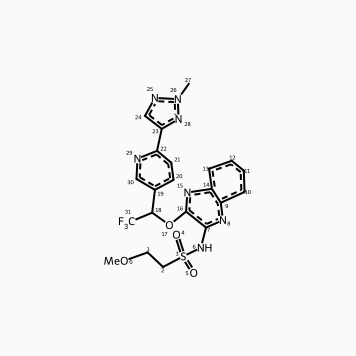 COCCS(=O)(=O)Nc1nc2ccccc2nc1OC(c1ccc(-c2cnn(C)n2)nc1)C(F)(F)F